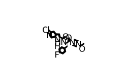 CC(=O)N1CCN(C(=O)[C@H](Cc2ccc(F)cc2)NC(=O)c2cc3cc(Cl)ncc3[nH]2)CC1